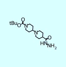 CC(C)(C)OC(=O)N1CCC(N2CCC(C(=O)NN)CC2)CC1